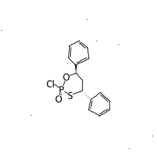 O=P1(Cl)O[C@@H](c2ccccc2)C[C@H](c2ccccc2)S1